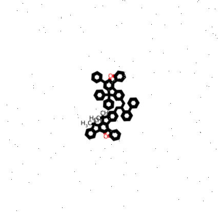 CC1(C)c2ccccc2-c2c1c1c(c3c2oc2ccccc23)-c2ccc(CC(Cc3ccc4c(c3)C(c3ccccc3)(c3ccccc3)c3cc(-c5ccccc5)c5oc6ccccc6c5c3-4)c3ccccc3-c3ccccc3)cc2C1(C)C